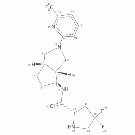 O=C(N[C@H]1CC[C@@H]2CN(c3cccc(C(F)(F)F)n3)C[C@@H]21)[C@@H]1CC(F)(F)CN1